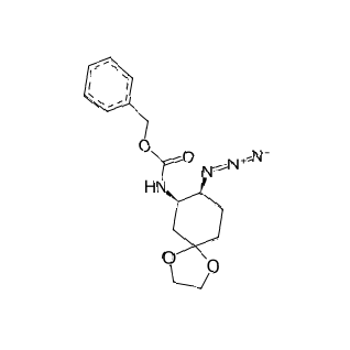 [N-]=[N+]=N[C@H]1CCC2(C[C@H]1NC(=O)OCc1ccccc1)OCCO2